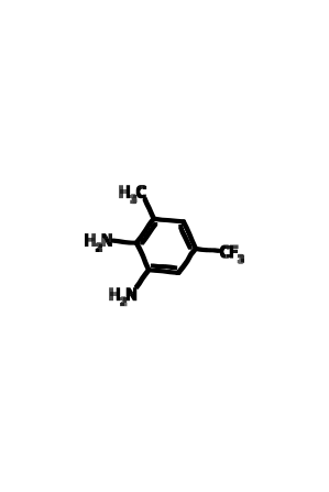 Cc1cc(C(F)(F)F)cc(N)c1N